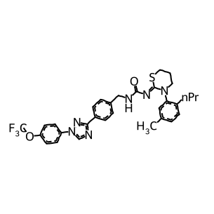 CCCc1ccc(C)cc1N1CCCS/C1=N\C(=O)NCc1ccc(-c2ncn(-c3ccc(OC(F)(F)F)cc3)n2)cc1